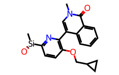 Cn1cc(-c2nc([Si](C)=O)ccc2OCC2CC2)c2ccccc2c1=O